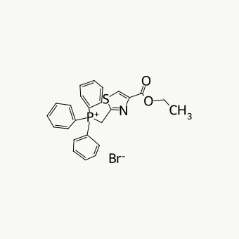 CCOC(=O)c1csc(C[P+](c2ccccc2)(c2ccccc2)c2ccccc2)n1.[Br-]